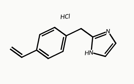 C=Cc1ccc(Cc2ncc[nH]2)cc1.Cl